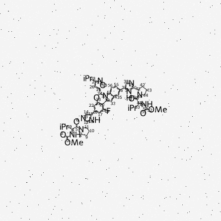 COC(=O)NC(C(=O)N1CCC[C@H]1c1ncc(-c2cc(F)c3c(c2)O[C@@H](c2cc(C(C)C)no2)n2c-3cc3cc(-c4cnc([C@@H]5CCCN5C(=O)C(NC(=O)OC)C(C)C)[nH]4)ccc32)[nH]1)C(C)C